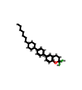 CCCCCCCC1CCC(c2ccc(-c3ccc4c(c3)CCC(F)(F)O4)cc2)CC1